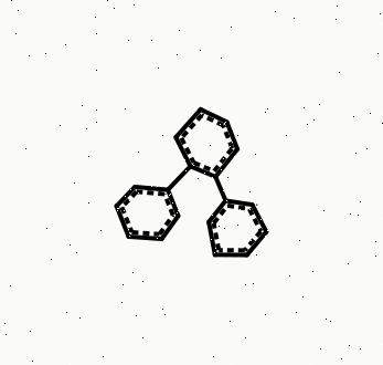 [c]1ccccc1-c1ccccc1-c1ccccc1